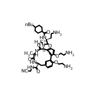 CCCCC1CCC(C(=O)N[C@@H](CCN)C(=O)N(C)[C@@H]2C(=O)N[C@@H](C)C(=O)N[C@H](C(=O)NCC#N)Cc3ccc(OCCN)c(c3)-c3cc2ccc3OCCN)CC1